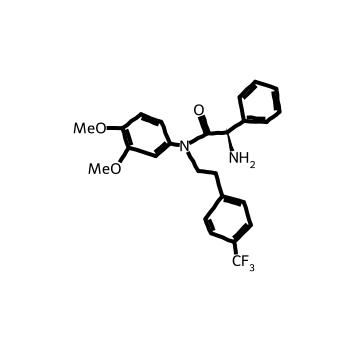 COc1ccc(N(CCc2ccc(C(F)(F)F)cc2)C(=O)[C@H](N)c2ccccc2)cc1OC